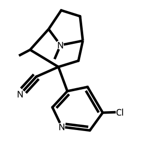 CC1C2CCC(CC1(C#N)c1cncc(Cl)c1)N2C